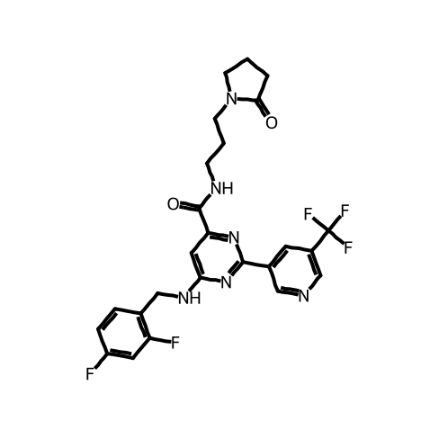 O=C(NCCCN1CCCC1=O)c1cc(NCc2ccc(F)cc2F)nc(-c2cncc(C(F)(F)F)c2)n1